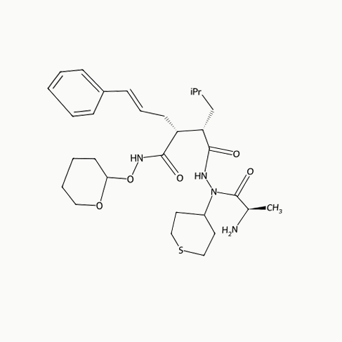 CC(C)C[C@H](C(=O)NN(C(=O)[C@@H](C)N)C1CCSCC1)[C@@H](CC=Cc1ccccc1)C(=O)NOC1CCCCO1